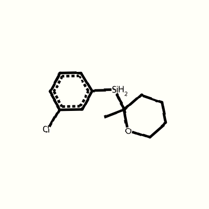 CC1([SiH2]c2cccc(Cl)c2)CCCCO1